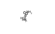 CC(C)NCC(O)COc1ccc(N)c2ccccc12